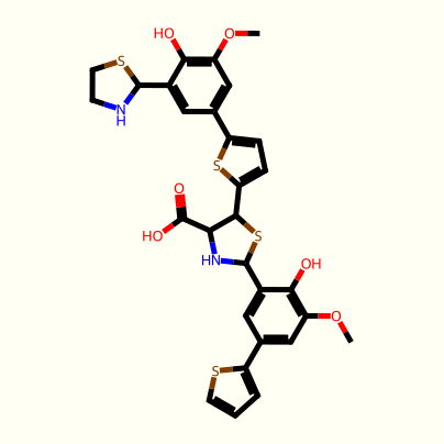 COc1cc(-c2ccc(C3SC(c4cc(-c5cccs5)cc(OC)c4O)NC3C(=O)O)s2)cc(C2NCCS2)c1O